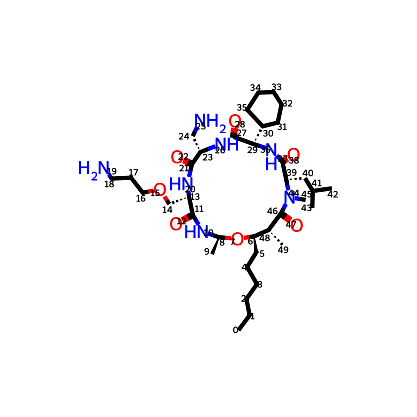 CCCCCC[C@H]1O[C@@H](C)NC(=O)[C@H](COCCCN)NC(=O)[C@H](CN)NC(=O)[C@H](C2CCCCC2)NC(=O)[C@H](CC(C)C)N(C)C(=O)[C@@H]1C